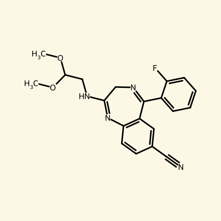 COC(CNC1=Nc2ccc(C#N)cc2C(c2ccccc2F)=NC1)OC